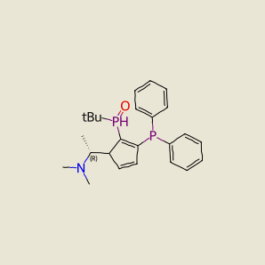 C[C@H](C1C=CC(P(c2ccccc2)c2ccccc2)=C1[PH](=O)C(C)(C)C)N(C)C